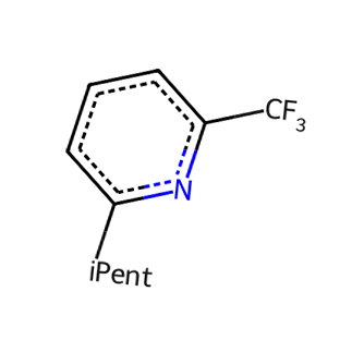 CCCC(C)c1cccc(C(F)(F)F)n1